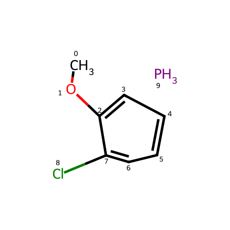 COc1ccccc1Cl.P